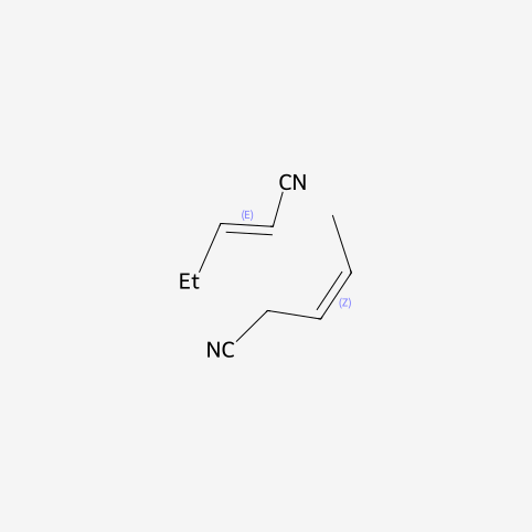 C/C=C\CC#N.CC/C=C/C#N